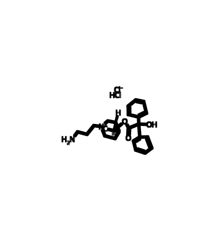 Cl.NCCC[N+]12CCC(CC1)[C@@H](OC(=O)C(O)(c1ccccc1)c1ccccc1)C2.[Cl-]